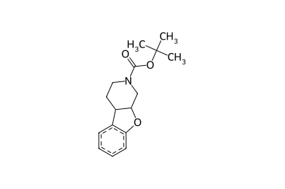 CC(C)(C)OC(=O)N1CCC2c3ccccc3OC2C1